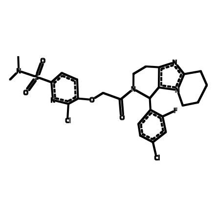 CN(C)S(=O)(=O)c1ccc(OCC(=O)N2CCc3nc4n(c3C2c2ccc(Cl)cc2F)CCCC4)c(Cl)n1